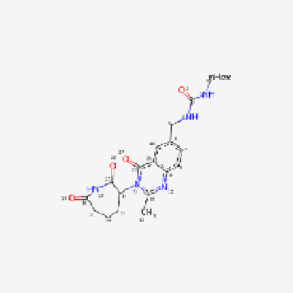 CCCCCCNC(=O)NCc1ccc2nc(C)n(C3CCCC(=O)NC3=O)c(=O)c2c1